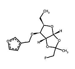 CC[C@H]1O[C@@H]2OC(C)(CF)O[C@@H]2[C@H]1OCc1ccoc1